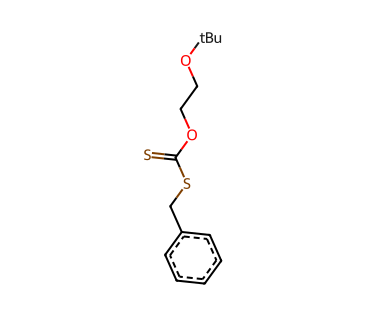 CC(C)(C)OCCOC(=S)SCc1ccccc1